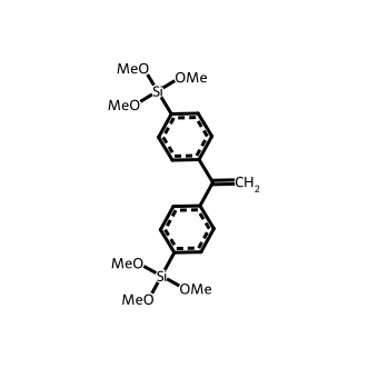 C=C(c1ccc([Si](OC)(OC)OC)cc1)c1ccc([Si](OC)(OC)OC)cc1